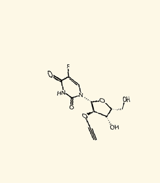 C#CO[C@@H]1[C@@H](O)[C@@H](CO)O[C@H]1n1cc(F)c(=O)[nH]c1=O